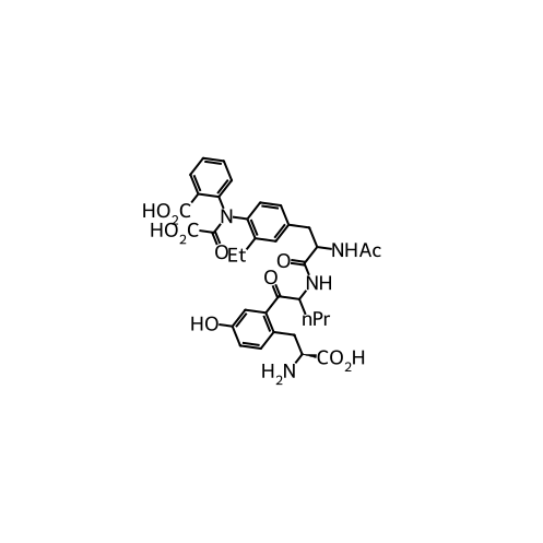 CCCC(NC(=O)C(Cc1ccc(N(C(=O)C(=O)O)c2ccccc2C(=O)O)c(CC)c1)NC(C)=O)C(=O)c1cc(O)ccc1C[C@H](N)C(=O)O